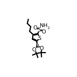 CCCCc1cc(B2OC(C)(C)C(C)(C)O2)sc1S(N)(=O)=O